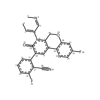 C/C=C(\C=N/C)n1c2c(cc(-c3cccc(F)c3C#N)c1=O)-c1ncc(F)cc1OC2